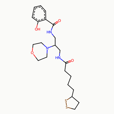 O=C(CCCCC1CCSS1)NCC(CNC(=O)c1ccccc1O)N1CCOCC1